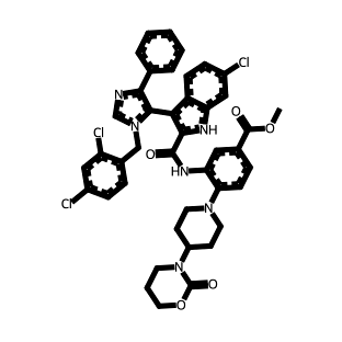 COC(=O)c1ccc(N2CCC(N3CCCOC3=O)CC2)c(NC(=O)c2[nH]c3cc(Cl)ccc3c2-c2c(-c3ccccc3)ncn2Cc2ccc(Cl)cc2Cl)c1